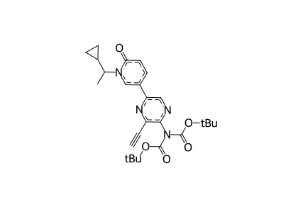 C#Cc1nc(-c2ccc(=O)n(C(C)C3CC3)c2)cnc1N(C(=O)OC(C)(C)C)C(=O)OC(C)(C)C